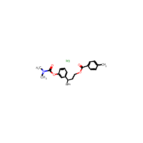 CNC(CCOC(=O)c1ccc(C)cc1)c1cccc(OC(=O)N(C)C)c1.Cl